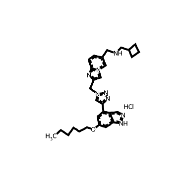 CCCCCCOc1cc(-c2cn(Cc3cn4cc(CNCC5CCC5)ccc4n3)nn2)c2cn[nH]c2c1.Cl